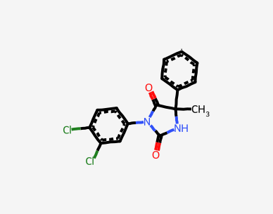 CC1(c2cc[c]cc2)NC(=O)N(c2ccc(Cl)c(Cl)c2)C1=O